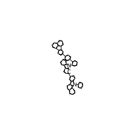 c1ccc(-n2c3ccc(-c4ccc5c6ccccc6n(-c6ccccc6-c6ccc(-c7ccc8c(c7)-c7cccc9cccc-8c79)cc6)c5c4)cc3c3ccc4ccccc4c32)cc1